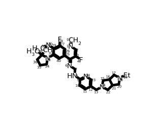 C=N/C=C(F)\C(=N/CNc1ccc(CN2CC3CN(CC)CC3C2)cn1)c1cc(F)c(N=C)c(N2CCCC2(C)C)c1